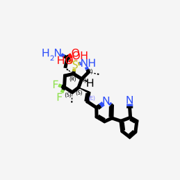 C[C@H]1NS(O)(O)[C@]2(CC(N)=O)CC(F)(F)[C@@H](C)[C@H](/C=C/c3ccc(-c4ccccc4C#N)cn3)[C@H]12